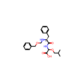 CC(C)COC(NC(=O)[C@H](Cc1ccccc1)NCOCc1ccccc1)C(=O)O